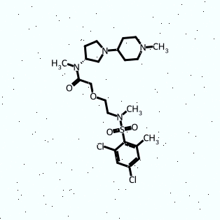 Cc1cc(Cl)cc(Cl)c1S(=O)(=O)N(C)CCOCC(=O)N(C)[C@@H]1CCN(C2CCN(C)CC2)C1